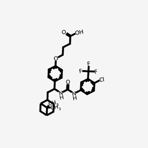 CC1(C)C2CCC(CC(NC(=O)Nc3ccc(Cl)c(C(F)(F)F)c3)c3ccc(OCCCC(=O)O)cc3)C1C2